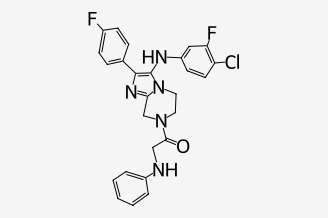 O=C(CNc1ccccc1)N1CCn2c(nc(-c3ccc(F)cc3)c2Nc2ccc(Cl)c(F)c2)C1